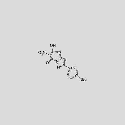 CC(C)(C)c1ccc(-c2nn3c(=O)c([N+](=O)[O-])c(O)nc3s2)cc1